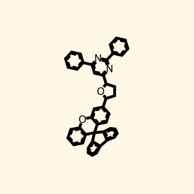 c1ccc(-c2cc(C3CCC(c4ccc5c(c4)Oc4ccccc4C54c5ccccc5-c5ccccc54)O3)nc(-c3ccccc3)n2)cc1